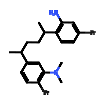 CC(C)c1ccc(C(C)CCC(C)c2ccc(C(C)C)c(N(C)C)c2)c(N)c1